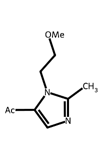 COCCn1c(C(C)=O)cnc1C